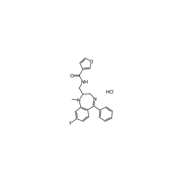 CN1c2cc(F)ccc2C(c2ccccc2)=NCC1CNC(=O)c1ccoc1.Cl